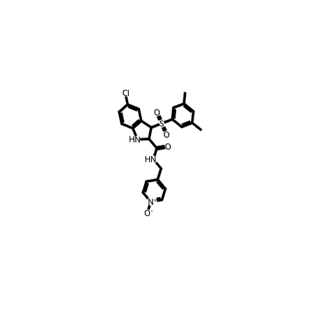 Cc1cc(C)cc(S(=O)(=O)C2c3cc(Cl)ccc3NC2C(=O)NCc2cc[n+]([O-])cc2)c1